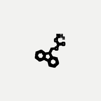 NOC(=O)OCC1c2ccccc2-c2ccccc21